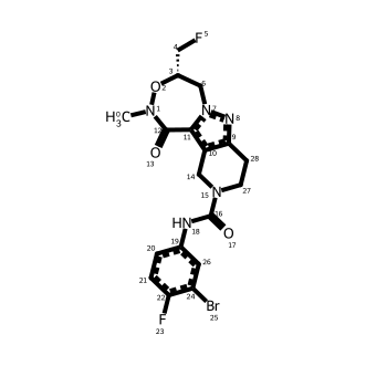 CN1O[C@H](CF)Cn2nc3c(c2C1=O)CN(C(=O)Nc1ccc(F)c(Br)c1)CC3